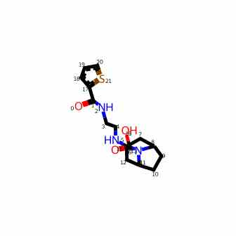 O=C(NCCNC1CC2CCC(C1)N2C(=O)O)c1cccs1